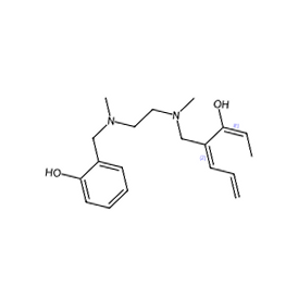 C=C/C=C(CN(C)CCN(C)Cc1ccccc1O)\C(O)=C/C